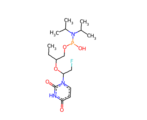 CCC(COP(O)N(C(C)C)C(C)C)OC(CF)n1ccc(=O)[nH]c1=O